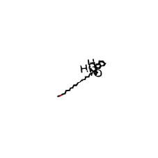 CCCCCCCCC=CCCCCCCCCNC(=O)c1cc2ccccc2cc1O